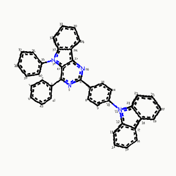 c1ccc(-c2nc(-c3ccc(-n4c5ccccc5c5ccccc54)cc3)nc3c4ccccc4n(-c4ccccc4)c23)cc1